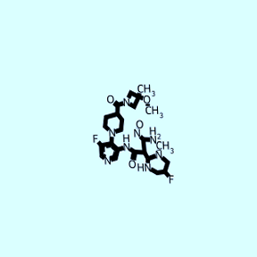 COC1(C)CN(C(=O)C2CCN(c3c(F)cncc3NC(=O)C(C(N)N=O)C3NCC(F)CN3C)CC2)C1